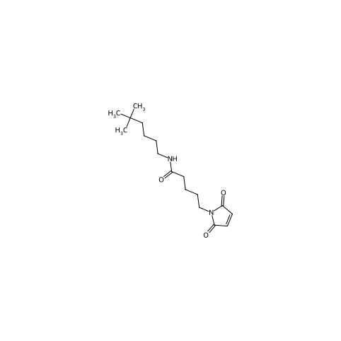 CC(C)(C)CCCCNC(=O)CCCCN1C(=O)C=CC1=O